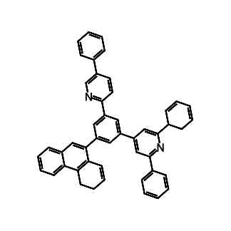 C1=CCC(c2cc(-c3cc(-c4ccc(-c5ccccc5)cn4)cc(-c4cc5ccccc5c5c4C=CCC5)c3)cc(-c3ccccc3)n2)C=C1